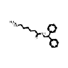 CNCCCCCC(=O)NCC(c1ccccc1)c1ccccc1